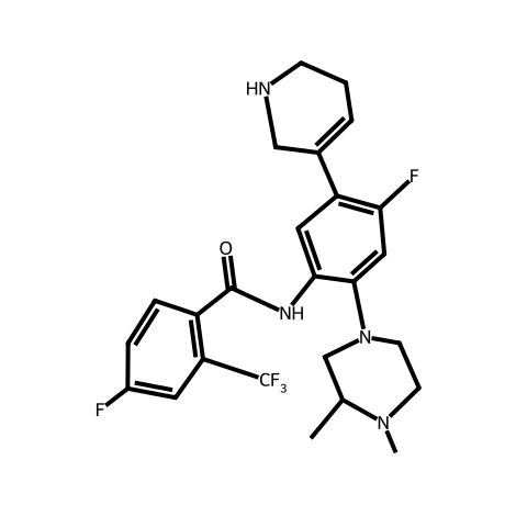 CC1CN(c2cc(F)c(C3=CCCNC3)cc2NC(=O)c2ccc(F)cc2C(F)(F)F)CCN1C